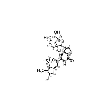 C=C[C@H]1[C@@](C)(C=O)[C@H](n2cnc3c(=O)[nH]c(N(C)/C=C4/CC(I)C(C)=C4C4CC4)nc32)O[C@]1(F)CO